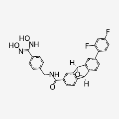 O=C(NCc1ccc(C(=NO)NO)cc1)c1ccc2c(c1)[C@@H]1O[C@H]2c2ccc(-c3ccc(F)cc3F)cc21